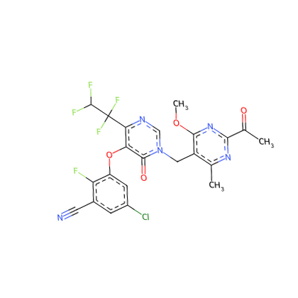 COc1nc(C(C)=O)nc(C)c1Cn1cnc(C(F)(F)C(F)F)c(Oc2cc(Cl)cc(C#N)c2F)c1=O